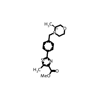 COC(=O)c1nc(-c2ccc(CN3CCOC[C@@H]3C)cc2)sc1C